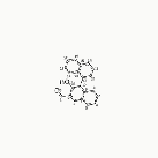 O=Cc1cc2ccccc2c(-c2cccc3ccccc23)c1O